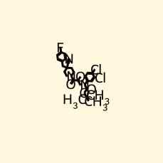 CC(C)(C)OC(=O)N1CC(C(=O)N2CCC(C#N)(Cc3ccc(F)cc3)CC2)Oc2cc(Cl)c(Cl)cc21